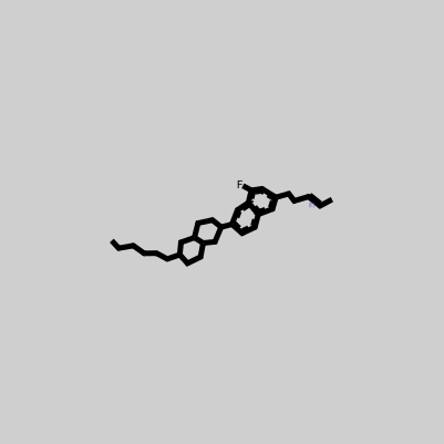 C/C=C/CCc1cc(F)c2cc(C3CCC4CC(CCCCCC)CCC4C3)ccc2c1